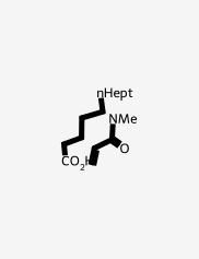 C=CC(=O)NC.CCCCCCCCCCCC(=O)O